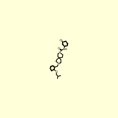 CC(C)COc1ccccc1CN1CCC2(CC1)CCN(C(=O)Nc1cccc(Cl)c1)CC2